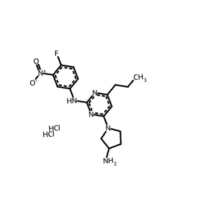 CCCc1cc(N2CCC(N)C2)nc(Nc2ccc(F)c([N+](=O)[O-])c2)n1.Cl.Cl